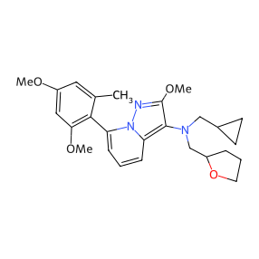 COc1cc(C)c(-c2cccc3c(N(CC4CC4)CC4CCCO4)c(OC)nn23)c(OC)c1